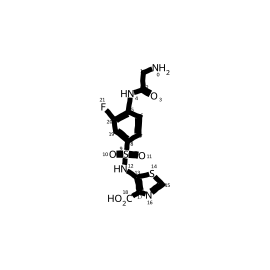 NCC(=O)Nc1ccc(S(=O)(=O)Nc2scnc2C(=O)O)cc1F